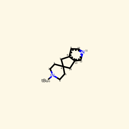 CC(C)(C)N1CCC2(CC1)Cc1ccncc1C2